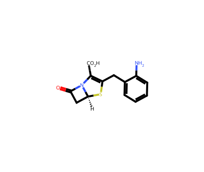 Nc1ccccc1CC1=C(C(=O)O)N2C(=O)C[C@@H]2S1